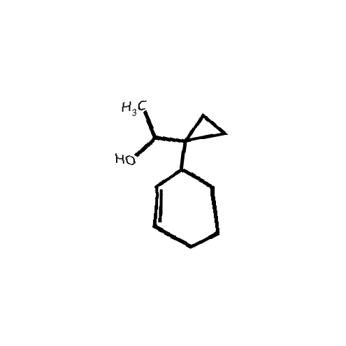 CC(O)C1(C2C=CCCC2)CC1